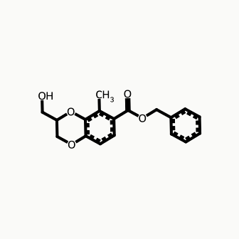 Cc1c(C(=O)OCc2ccccc2)ccc2c1OC(CO)CO2